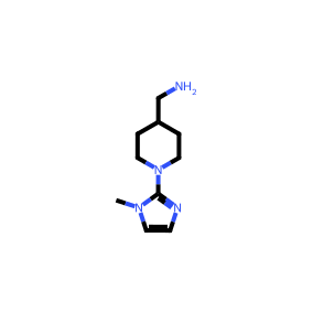 Cn1ccnc1N1CCC(CN)CC1